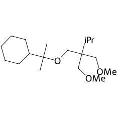 COCC(COC)(COC(C)(C)C1CCCCC1)C(C)C